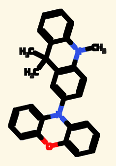 CN1c2ccccc2C(C)(C)c2cc(N3c4ccccc4Oc4ccccc43)ccc21